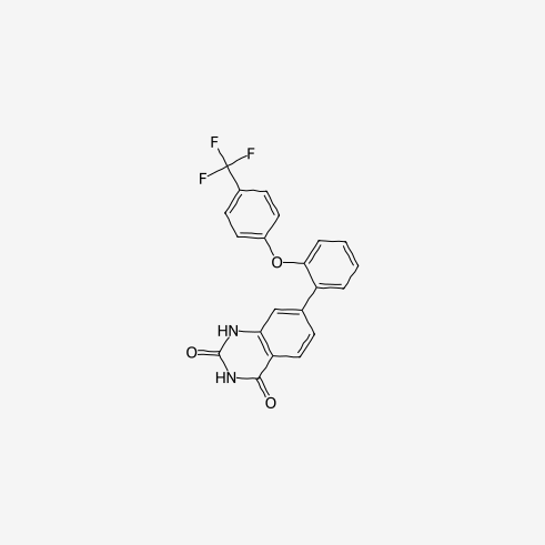 O=c1[nH]c(=O)c2ccc(-c3ccccc3Oc3ccc(C(F)(F)F)cc3)cc2[nH]1